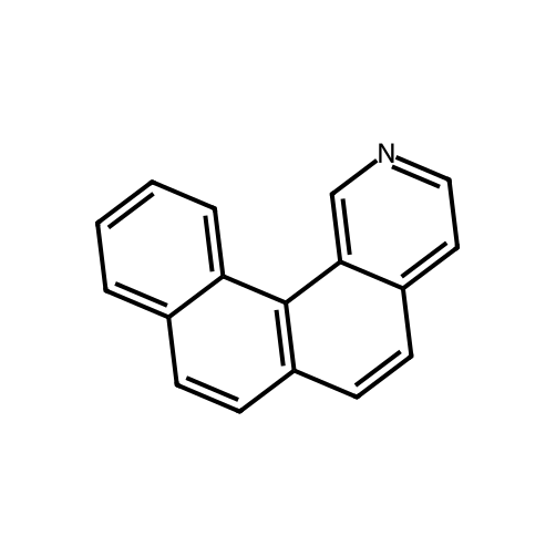 c1ccc2c(c1)ccc1ccc3ccncc3c12